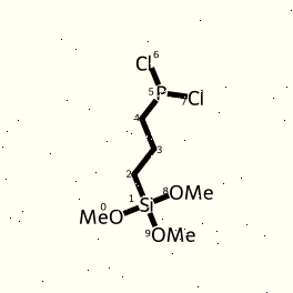 CO[Si](CCCP(Cl)Cl)(OC)OC